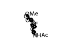 COC(=O)CC1COc2cc(O[C@@H]3CCc4c(Oc5ccc(NC(C)=O)cc5)ccc(F)c43)ccc21